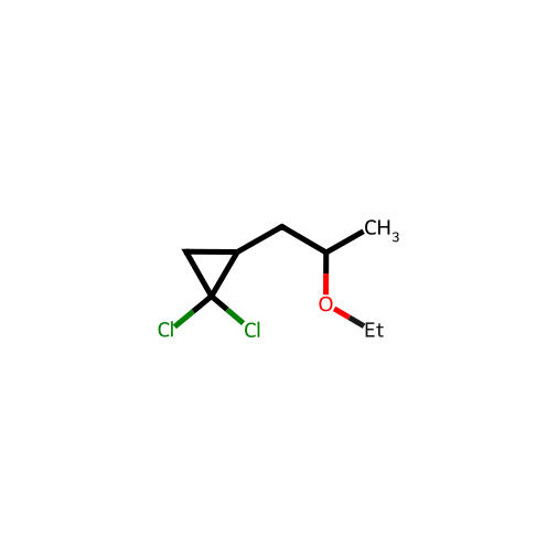 CCOC(C)CC1CC1(Cl)Cl